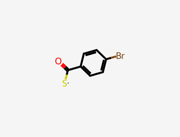 O=C([S])c1ccc(Br)cc1